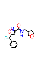 O=C(NCC1CCOC1)c1cc(C(F)c2ccccc2)on1